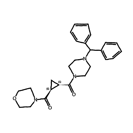 O=C([C@H]1C[C@@H]1C(=O)N1CCN(C(c2ccccc2)c2ccccc2)CC1)N1CCOCC1